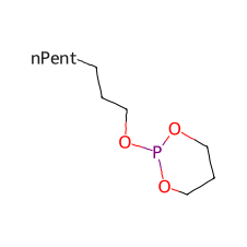 CCCCCCCCOP1OCCCO1